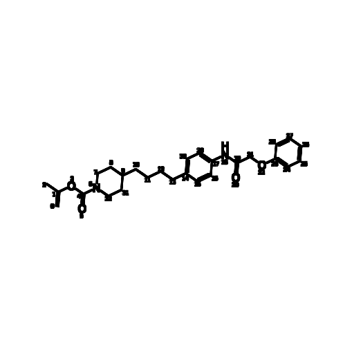 C=C(C)OC(=O)N1CCC(CCCCc2ccc(NC(=O)COc3ccccc3)cc2)CC1